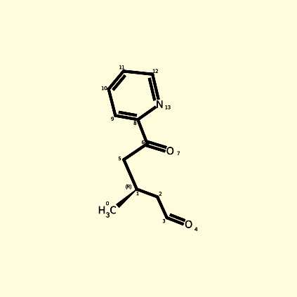 C[C@H](CC=O)CC(=O)c1ccccn1